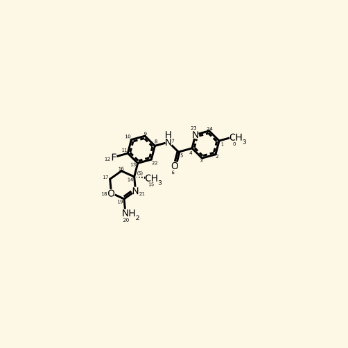 Cc1ccc(C(=O)Nc2ccc(F)c([C@]3(C)CCOC(N)=N3)c2)nc1